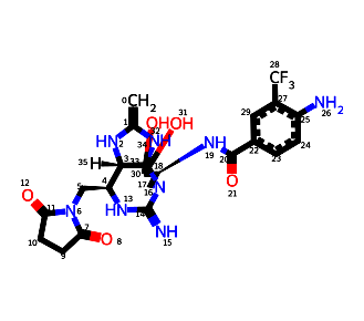 C=C1N[C@H]2[C@H](CN3C(=O)CCC3=O)NC(=N)N3C[C@H](NC(=O)c4ccc(N)c(C(F)(F)F)c4)C(O)(O)[C@]23N1